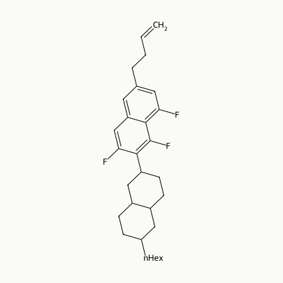 C=CCCc1cc(F)c2c(F)c(C3CCC4CC(CCCCCC)CCC4C3)c(F)cc2c1